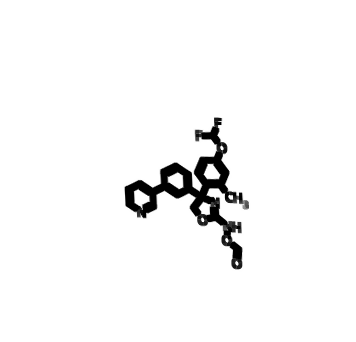 Cc1cc(OC(F)F)ccc1C1(c2cccc(-c3cccnc3)c2)COC(NOC=O)=N1